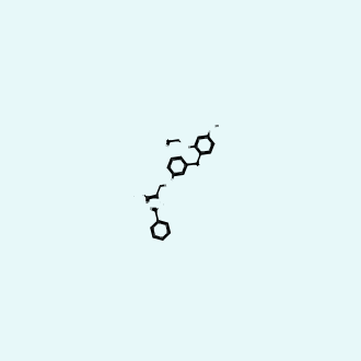 COc1ccc(C(=O)c2cccc(OCc3nc(-c4ccccc4)oc3C)c2)c(OCC(=O)O)c1